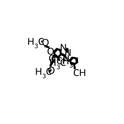 C#Cc1cccc(N(C)c2ncnc3cc(OCCOC)c(OCCOC)c(C)c23)c1